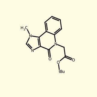 Cn1cnc2c(=O)n(CC(=O)OC(C)(C)C)c3ccccc3c21